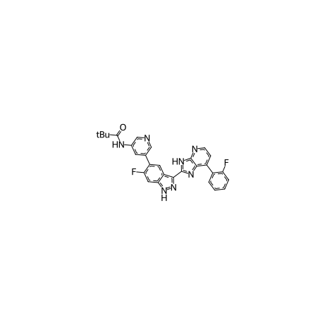 CC(C)(C)C(=O)Nc1cncc(-c2cc3c(-c4nc5c(-c6ccccc6F)ccnc5[nH]4)n[nH]c3cc2F)c1